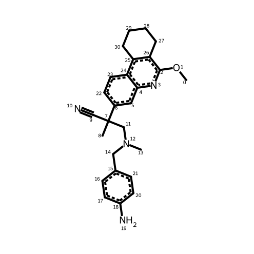 COc1nc2cc(C(C)(C#N)CN(C)Cc3ccc(N)cc3)ccc2c2c1CCCC2